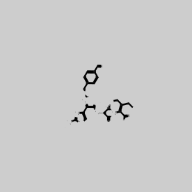 CCC1=C(C(=O)O)N2C(=O)[C@@H](NC(=O)/C(=N\OCc3ccc(C=O)cc3)c3csc(N)n3)[C@H]2SC1